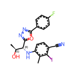 Cc1c(N[C@@H](c2nnc(-c3ccc(F)cc3)o2)[C@H](C)O)ccc(C#N)c1I